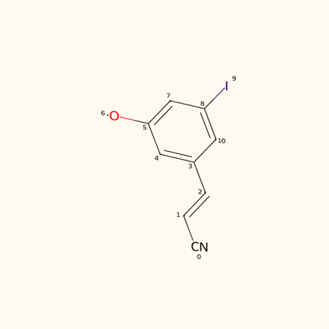 N#C/C=C/c1cc([O])cc(I)c1